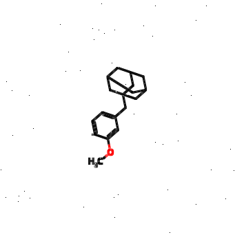 COc1[c]ccc(CC23CC4CC(CC(C4)C2)C3)c1